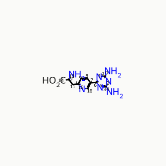 Nc1nc(N)nc(-c2ccc(CC(N)C(=O)O)nc2)n1